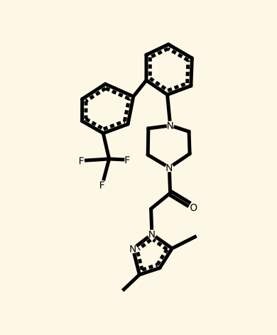 Cc1cc(C)n(CC(=O)N2CCN(c3ccccc3-c3cccc(C(F)(F)F)c3)CC2)n1